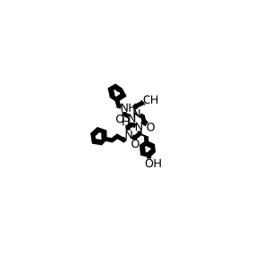 C#CCN1CC(=O)N2[C@@H](Cc3ccc(O)cc3)C(=O)N(CCCc3ccccc3)C[C@@H]2N1C(=O)NCc1ccccc1